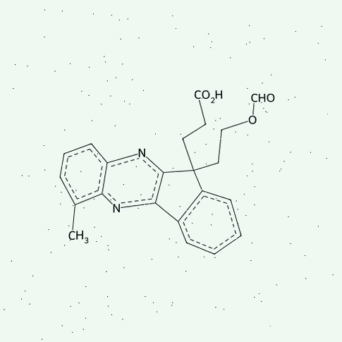 Cc1cccc2nc3c(nc12)-c1ccccc1C3(CCOC=O)CCC(=O)O